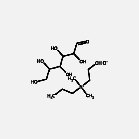 CCC[N+](C)(C)CCO.O=CC(O)C(O)C(O)C(O)CO.[Cl-]